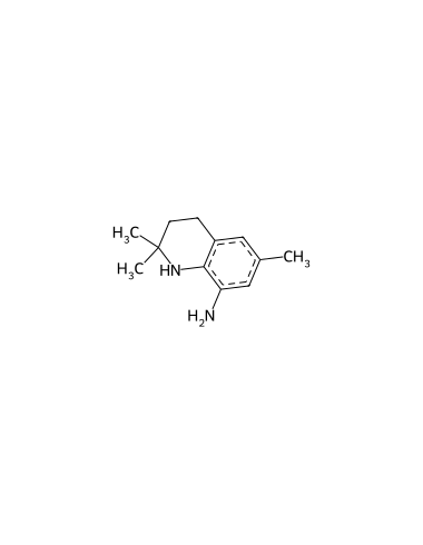 Cc1cc(N)c2c(c1)CCC(C)(C)N2